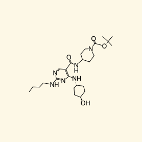 CCCCNc1ncc(C(=O)NC2CCN(C(=O)OC(C)(C)C)CC2)c(N[C@H]2CC[C@H](O)CC2)n1